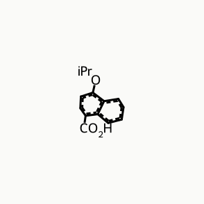 CC(C)Oc1ccc(C(=O)O)c2ccccc12